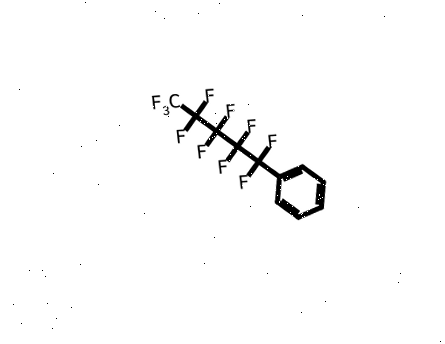 FC(F)(F)C(F)(F)C(F)(F)C(F)(F)C(F)(F)c1ccccc1